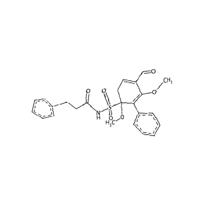 COC1=C(c2ccccc2)C(OC)(S(=O)(=O)NC(=O)CCc2ccccc2)CC=C1C=O